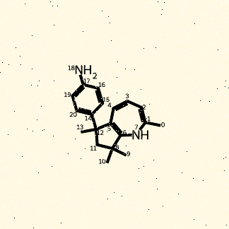 CC1=CC=CC2=C(N1)C(C)(C)CC2(C)c1ccc(N)cc1